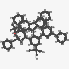 CC(C)(C)c1ccc2c3ccccc3n(-c3c(-c4cc(-c5ccccc5)nc(-c5ccccc5)n4)cc(C(F)(F)F)cc3-c3cc(-c4ccccc4)nc(-c4ccccc4)n3)c2c1